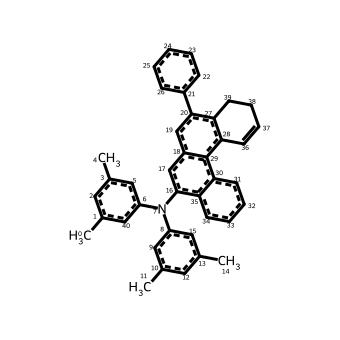 Cc1cc(C)cc(N(c2cc(C)cc(C)c2)c2cc3cc(-c4ccccc4)c4c(c3c3ccccc23)C=CCC4)c1